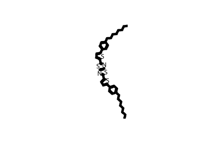 CCCCCCCCc1ccc(-c2ccc(-c3nc4sc(-c5ccc(-c6ccc(CCCCCCCC)cc6)s5)nc4s3)s2)cc1